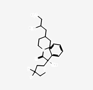 CCC(N)CC1CCN(C(=O)[C@](O)(c2ccccc2)[C@@H]2CCC(F)(F)C2)CC1